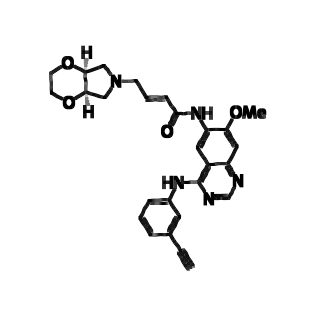 C#Cc1cccc(Nc2ncnc3cc(OC)c(NC(=O)/C=C/CN4C[C@@H]5OCCO[C@@H]5C4)cc23)c1